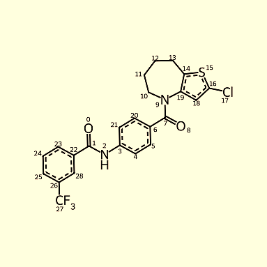 O=C(Nc1ccc(C(=O)N2CCCCc3sc(Cl)cc32)cc1)c1cccc(C(F)(F)F)c1